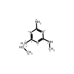 CNc1nc(N)nc(N)n1.CO